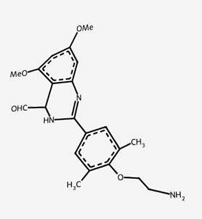 COc1cc2c(c(OC)c1)C(C=O)NC(c1cc(C)c(OCCN)c(C)c1)=N2